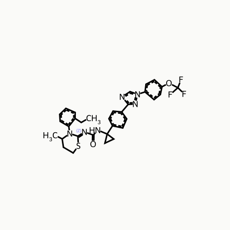 CCc1ccccc1N1/C(=N/C(=O)NC2(c3ccc(-c4ncn(-c5ccc(OC(F)(F)F)cc5)n4)cc3)CC2)SCCC1C